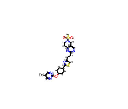 CCc1cnc(OC2CCC(c3nc(CCc4ncc5c(n4)CCN(S(C)(=O)=O)C5)cs3)CC2)nc1